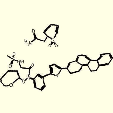 CS(=O)(=O)NCC(=O)N(OC1CCCCO1)c1cccc(-c2ccc(C3=Cc4ccc5c(c4CC3)CCc3ccccc3-5)s2)c1.NC(=O)CC1C=CC=CS1(=O)=O